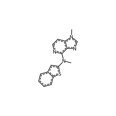 CN(c1cc2ccccc2s1)c1nccc2c1ncn2C